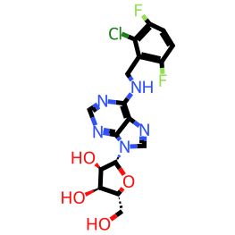 OC[C@H]1O[C@@H](n2cnc3c(NCc4c(F)ccc(F)c4Cl)ncnc32)[C@H](O)[C@@H]1O